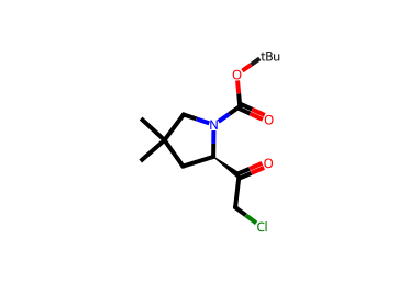 CC1(C)C[C@H](C(=O)CCl)N(C(=O)OC(C)(C)C)C1